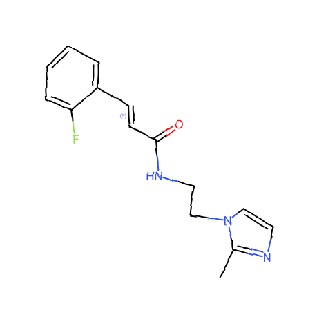 Cc1nccn1CCNC(=O)/C=C/c1ccccc1F